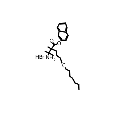 Br.CCCCCCCCCCCCC(C)(C(=O)Oc1ccc2ccccc2c1)C(C)(C)N